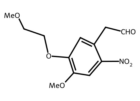 COCCOc1cc(CC=O)c([N+](=O)[O-])cc1OC